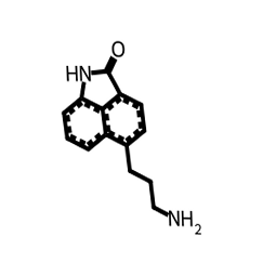 NCCCc1ccc2c3c(cccc13)NC2=O